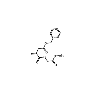 C=C(CC(=O)OCc1ccccc1)C(=O)OCC(=O)OCCCC